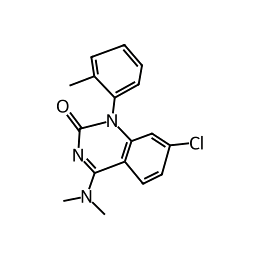 Cc1ccccc1-n1c(=O)nc(N(C)C)c2ccc(Cl)cc21